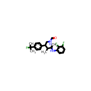 C=C(Nc1cccc(F)c1F)C(C)C(CNC=O)c1ccc(C(C)(C)F)cc1